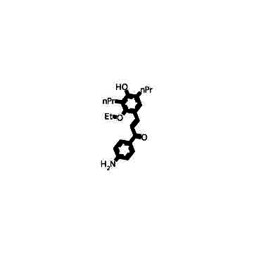 CCCc1cc(C=CC(=O)c2ccc(N)cc2)c(OCC)c(CCC)c1O